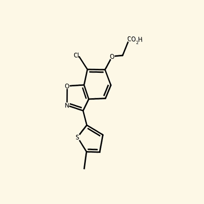 Cc1ccc(-c2noc3c(Cl)c(OCC(=O)O)ccc23)s1